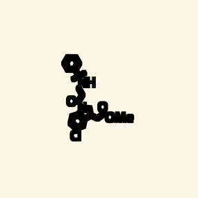 COC(=O)CC1CN(C(=O)CCNC(C)(C)c2ccccc2)c2ccc(Cl)cc21